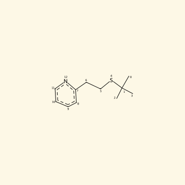 CC(C)(C)SCCc1ccccn1